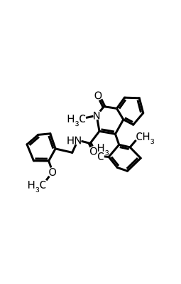 COc1ccccc1CNC(=O)c1c(-c2c(C)cccc2C)c2ccccc2c(=O)n1C